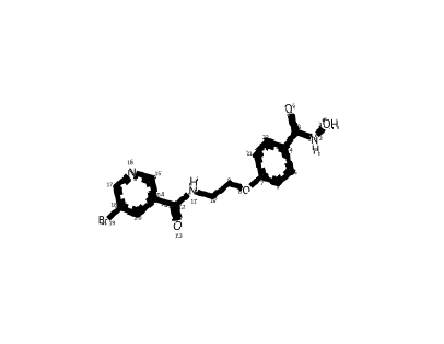 O=C(NO)c1ccc(OCCNC(=O)c2cncc(Br)c2)cc1